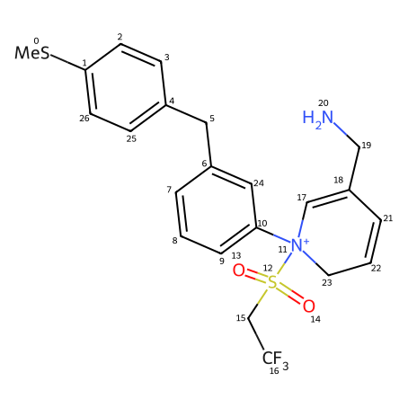 CSc1ccc(Cc2cccc([N+]3(S(=O)(=O)CC(F)(F)F)C=C(CN)C=CC3)c2)cc1